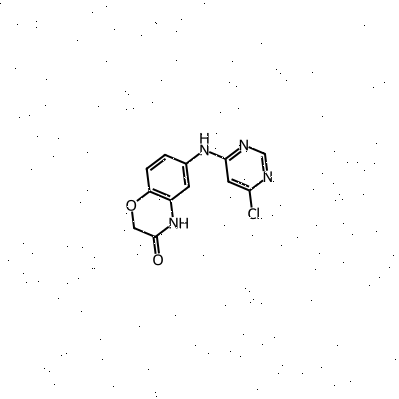 O=C1COc2ccc(Nc3cc(Cl)ncn3)cc2N1